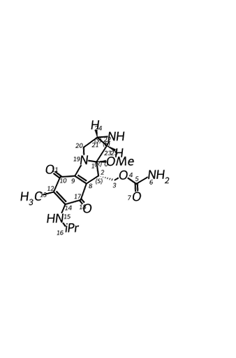 CO[C@@]12[C@H](COC(N)=O)C3=C(C(=O)C(C)=C(NC(C)C)C3=O)N1C[C@@H]1N[C@@H]12